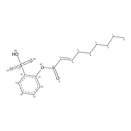 CCCCCCC=CC(=O)Oc1ccccc1S(=O)(=O)O